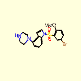 COc1ccc(Br)cc1S(=O)(=O)n1ccc2c(N3CCNCC3)cccc21